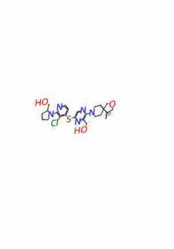 C[C@@H]1COCC12CCN(c1ncc(Sc3ccnc(N4CCCC4CO)c3Cl)nc1CO)CC2